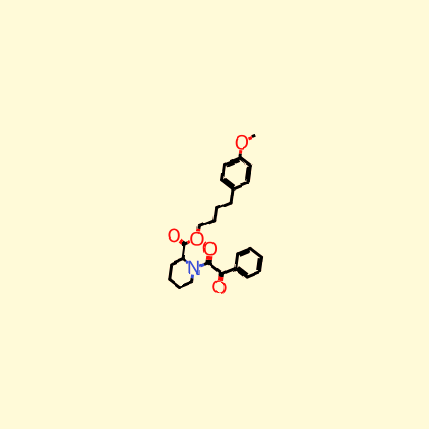 COc1ccc(CCCCOC(=O)C2CCCCN2C(=O)C(=O)c2ccccc2)cc1